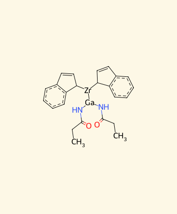 CCC(=O)[NH][Ga]([NH]C(=O)CC)[Zr]([CH]1C=Cc2ccccc21)[CH]1C=Cc2ccccc21